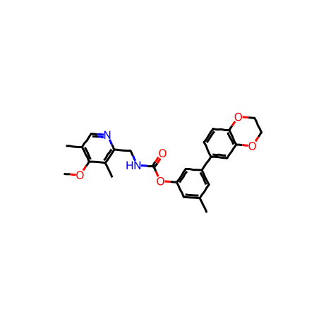 COc1c(C)cnc(CNC(=O)Oc2cc(C)cc(-c3ccc4c(c3)OCCO4)c2)c1C